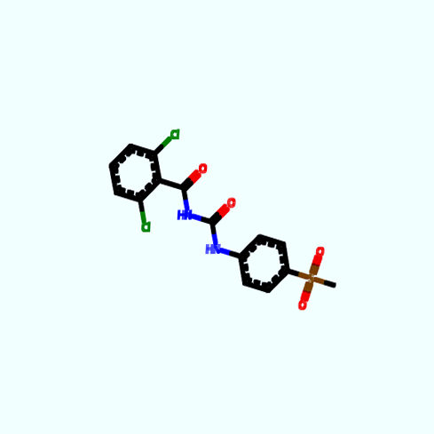 CS(=O)(=O)c1ccc(NC(=O)NC(=O)c2c(Cl)cccc2Cl)cc1